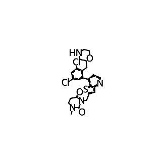 CN1CCC(=O)N(Cc2cc3nccc(-c4cc(Cl)cc(Cl)c4CC4CNCCO4)c3s2)C1=O